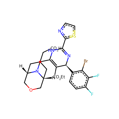 CCOC(=O)C1=C(CN2[C@@H]3COC[C@H]2CC(CC(=O)O)C3)NC(c2nccs2)=N[C@H]1c1ccc(F)c(F)c1Br